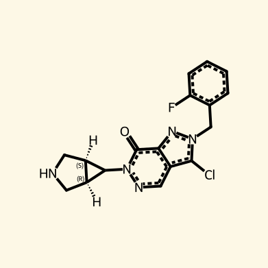 O=c1c2nn(Cc3ccccc3F)c(Cl)c2cnn1C1[C@H]2CNC[C@@H]12